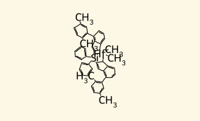 Cc1ccc(C)c(-c2cccc3c2C=C2[CH]3[Hf]([CH3])([CH3])[CH]3C(=Cc4c(-c5cc(C)ccc5C)cccc43)[Si]2(c2ccccc2)c2ccccc2)c1